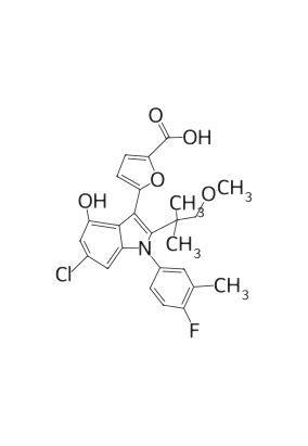 COCC(C)(C)c1c(-c2ccc(C(=O)O)o2)c2c(O)cc(Cl)cc2n1-c1ccc(F)c(C)c1